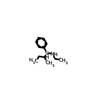 CCN[SiH](c1ccccc1)C(C)CC